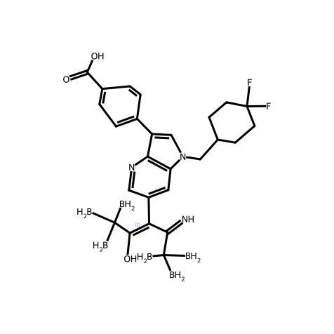 BC(B)(B)C(=N)/C(=C(\O)C(B)(B)B)c1cnc2c(-c3ccc(C(=O)O)cc3)cn(CC3CCC(F)(F)CC3)c2c1